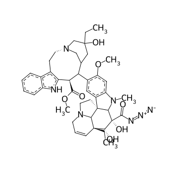 CCC1(O)CC2C[N@](CCc3c([nH]c4ccccc34)[C@H](C(=O)OC)C2c2cc3c(cc2OC)N(C)C2[C@]34CCN3CC=C[C@](CC)(C34)[C@@H](O)[C@]2(O)C(=O)N=[N+]=[N-])C1